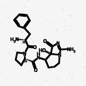 NC1=NC(=O)C2(O)C(NC(=O)[C@@H]3CCCN3C(=O)[C@H](N)Cc3ccccc3)CCCN12